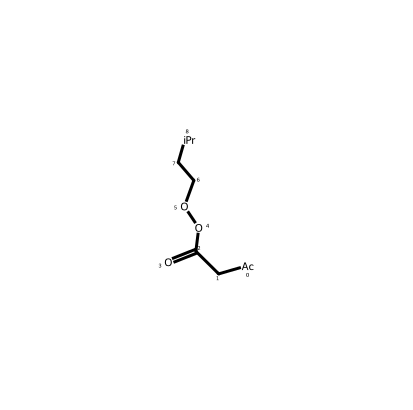 CC(=O)CC(=O)OOCCC(C)C